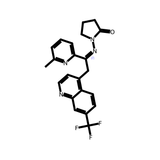 Cc1cccc(/C(Cc2ccnc3cc(C(F)(F)F)ccc23)=N\N2CCCC2=O)n1